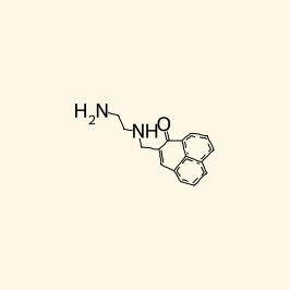 NCCNCC1=Cc2cccc3cccc(c23)C1=O